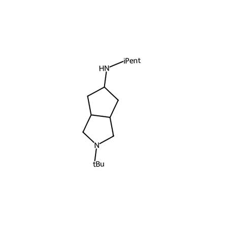 CCCC(C)NC1CC2CN(C(C)(C)C)CC2C1